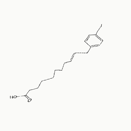 O=C(O)CCCCCCCC=CCc1ccc(I)cc1